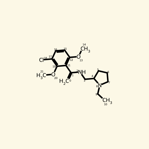 C=C(NCC1CCCN1CC)c1c(OC)ccc(Cl)c1OC